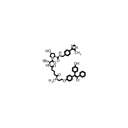 CC/C(=C(/c1ccc(O)cc1)c1ccc(OCCN(C)C(=O)CCCC(=O)N[C@H](C(=O)N2C[C@H](O)C[C@H]2C(=O)NCc2ccc(-c3scnc3C)cc2)C(C)(C)C)cc1)c1ccccc1